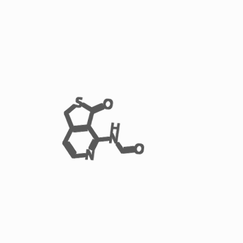 O=CNc1nccc2c1C(=O)SC2